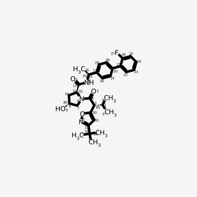 CC(C)[C@@H](C(=O)N1C[C@H](O)C[C@H]1C(=O)N[C@@H](C)c1ccc(-c2ccccc2F)cc1)c1cc(C(C)(C)C)no1